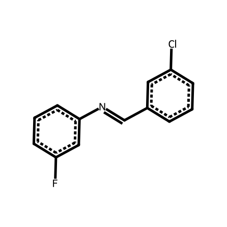 Fc1cccc(N=Cc2cccc(Cl)c2)c1